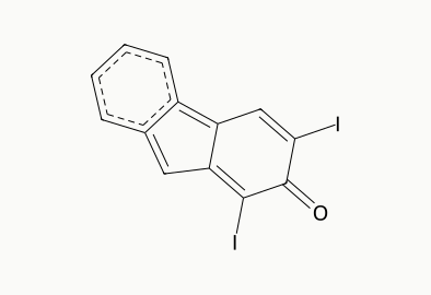 O=C1C(I)=CC2=c3ccccc3=CC2=C1I